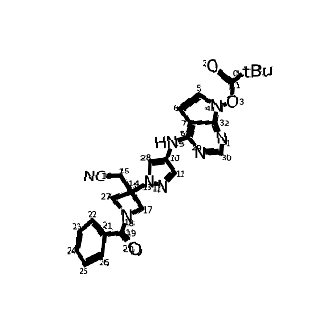 CC(C)(C)C(=O)On1ccc2c(Nc3cnn(C4(CC#N)CN(C(=O)c5ccccc5)C4)c3)ncnc21